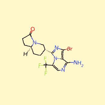 Nc1ncc(C(F)(F)F)n2c([C@@H]3CC[C@H]4CCC(=O)N4C3)nc(Br)c12